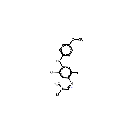 CCN(C)/C=N\c1cc(Cl)c(Nc2ccc(OC(F)(F)F)cc2)cc1Cl